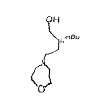 CCCC[C@@H](CO)CCN1CCOCC1